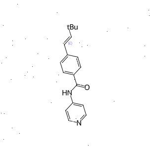 CC(C)(C)/C=C/c1ccc(C(=O)Nc2ccncc2)cc1